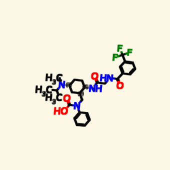 CC(C)N(C)[C@@H]1CC[C@H](NC(=O)CNC(=O)c2cccc(C(F)(F)F)c2)[C@@H](CN(C(=O)O)c2ccccc2)C1